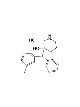 Cc1cccc(C(c2ccccc2)C2(O)CCCNC2)c1.Cl